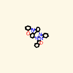 c1ccc2c(c1)Oc1ccc(-n3c4c5ccccc5oc4n4c5ccccc5nc34)c3c4ccccc4n-2c13